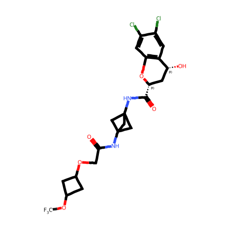 O=C(COC1CC(OC(F)(F)F)C1)NC12CC(NC(=O)[C@H]3C[C@@H](O)c4cc(Cl)c(Cl)cc4O3)(C1)C2